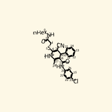 CCCCCCNC(=O)CSC1=C(C#N)C(c2ccccc2)C(C(=O)Nc2ccc(Cl)cc2)=C(C)N1